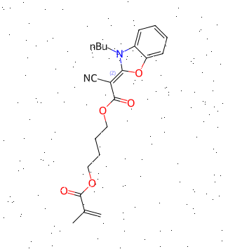 C=C(C)C(=O)OCCCCOC(=O)/C(C#N)=C1\Oc2ccccc2N1CCCC